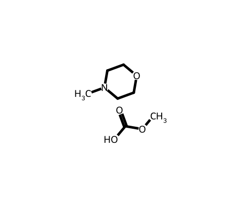 CN1CCOCC1.COC(=O)O